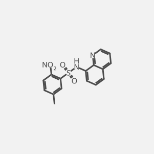 Cc1ccc([N+](=O)[O-])c(S(=O)(=O)Nc2cccc3cccnc23)c1